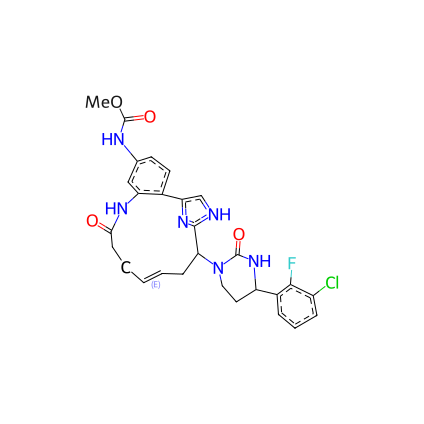 COC(=O)Nc1ccc2c(c1)NC(=O)CC/C=C/CC(N1CCC(c3cccc(Cl)c3F)NC1=O)c1nc-2c[nH]1